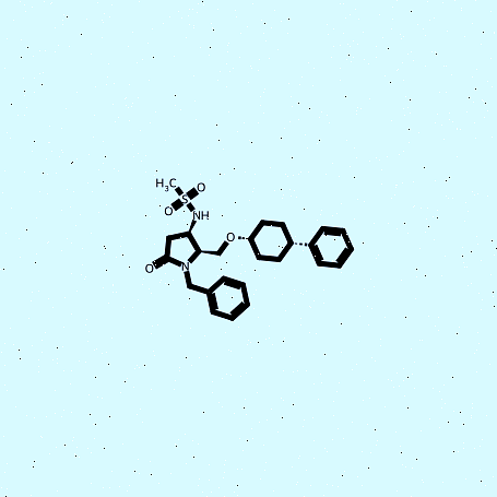 CS(=O)(=O)N[C@@H]1CC(=O)N(Cc2ccccc2)[C@@H]1CO[C@H]1CC[C@@H](c2ccccc2)CC1